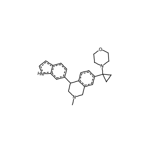 CN1Cc2cc(C3(N4CCOCC4)CC3)ccc2C(c2ccc3cc[nH]c3c2)C1